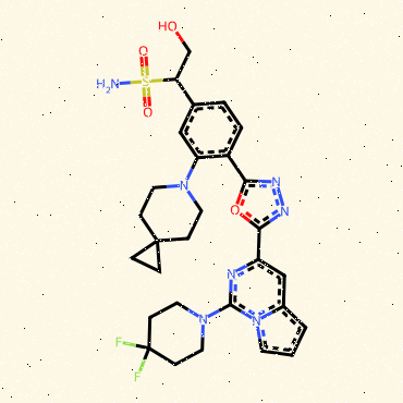 NS(=O)(=O)C(CO)c1ccc(-c2nnc(-c3cc4cccn4c(N4CCC(F)(F)CC4)n3)o2)c(N2CCC3(CC2)CC3)c1